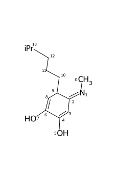 C/N=C1/C=C(O)C(O)=CC1CCCC(C)C